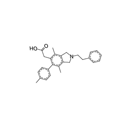 Cc1ccc(-c2c(C)c3c(c(C)c2CC(=O)O)CN(CCc2ccccc2)C3)cc1